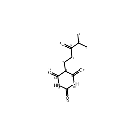 CC(C)C(=O)CCC1C(=O)NC(=O)NC1=O